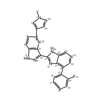 Cn1cc(-c2ccc3[nH]nc(-c4nc5c(-c6ccccc6F)cncc5[nH]4)c3n2)cn1